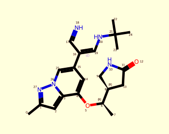 Cc1cc2c(O[C@H](C)[C@H]3CNC(=O)C3)cc(/C(C=N)=C/NC(C)(C)C)cn2n1